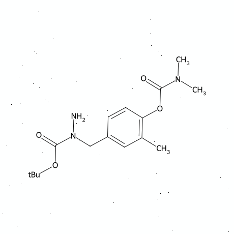 Cc1cc(CN(N)C(=O)OC(C)(C)C)ccc1OC(=O)N(C)C